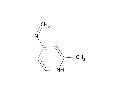 C=NC1=C=C(C)NC=C1